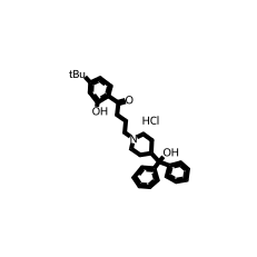 CC(C)(C)c1ccc(C(=O)CCCN2CCC(C(O)(c3ccccc3)c3ccccc3)CC2)c(O)c1.Cl